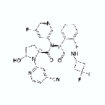 N#Cc1ccnc(N2C(O)CC[C@H]2C(=O)N(c2cncc(F)c2)[C@H](C(=O)NC2CC(F)(F)C2)c2ccccc2F)c1